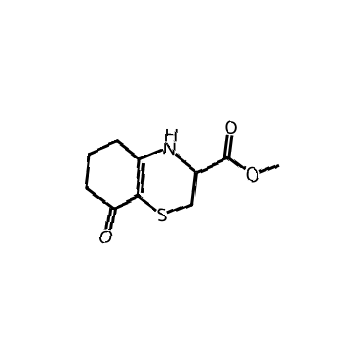 COC(=O)C1CSC2=C(CCCC2=O)N1